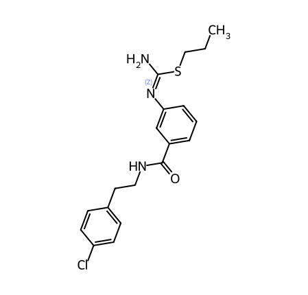 CCCS/C(N)=N\c1cccc(C(=O)NCCc2ccc(Cl)cc2)c1